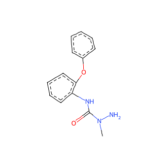 CN(N)C(=O)Nc1ccccc1Oc1ccccc1